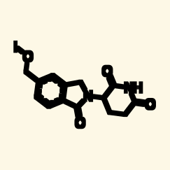 O=C1CCC(N2Cc3cc(COI)ccc3C2=O)C(=O)N1